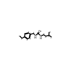 CCc1ccc(CNC(=O)NCCC(C)C)cc1